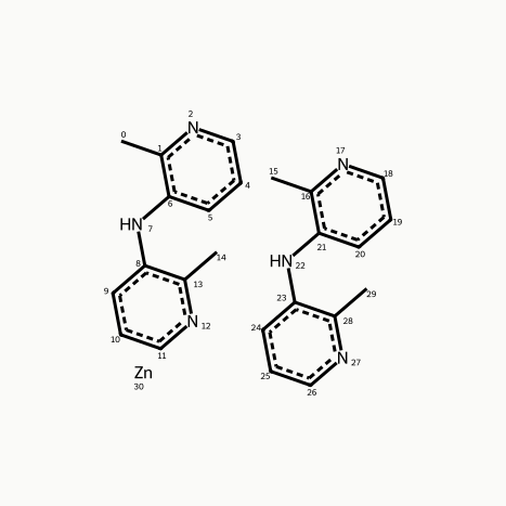 Cc1ncccc1Nc1cccnc1C.Cc1ncccc1Nc1cccnc1C.[Zn]